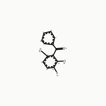 O=C(c1ccccc1)c1c(Cl)ccc(F)c1Cl